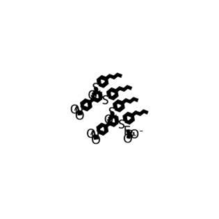 CCCCc1ccc(Sc2cc(Sc3ccc(CCCC)cc3)[o+]c(-c3ccc([N+](=O)[O-])cc3)c2)cc1.CCCCc1ccc(Sc2cc(Sc3ccc(CCCC)cc3)[o+]c(-c3ccc([N+](=O)[O-])cc3)c2)cc1.[O-]B([O-])F